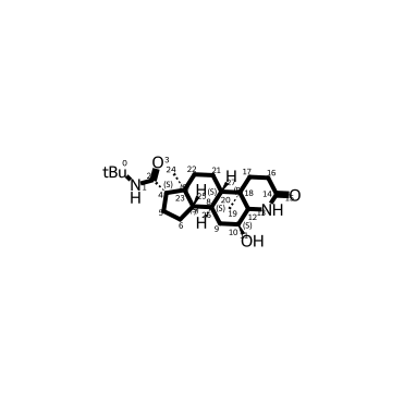 CC(C)(C)NC(=O)[C@H]1CC[C@H]2[C@@H]3C[C@H](O)C4NC(=O)CC[C@]4(C)[C@H]3CC[C@]12C